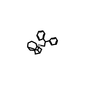 c1ccc(C(CNC2C3CCCC4CC2CC4C3)c2ccccc2)cc1